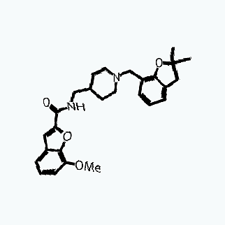 COc1cccc2cc(C(=O)NCC3CCN(Cc4cccc5c4OC(C)(C)C5)CC3)oc12